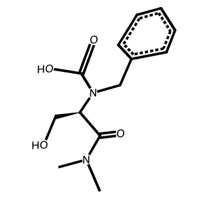 CN(C)C(=O)[C@@H](CO)N(Cc1ccccc1)C(=O)O